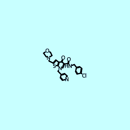 O=C(NCc1ccc(Cl)cc1)c1cn(Cc2ccncc2)c2sc(CN3CCOCC3)cc2c1=O